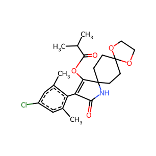 Cc1cc(Cl)cc(C)c1C1=C(OC(=O)C(C)C)C2(CCC3(CC2)OCCO3)NC1=O